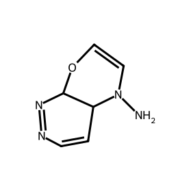 NN1C=COC2N=NC=CC21